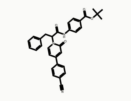 CC(C)(C)OC(=O)c1ccc(NC(=O)C(Cc2ccccc2)n2ccc(-c3ccc(C#N)cc3)cc2=O)cc1